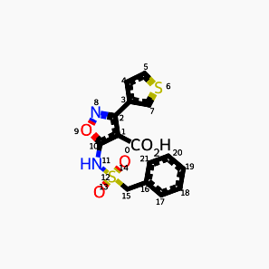 O=C(O)c1c(-c2ccsc2)noc1NS(=O)(=O)Cc1ccccc1